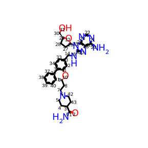 NC(=O)C1CCN(CCCOc2cc(CNc3nc4c(N)ncnc4n3[C@H]3CC[C@@H](CO)O3)ccc2-c2ccccc2)CC1